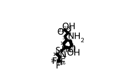 C[C@@](N)(Cc1ccc(O)c(-c2nc(C(F)(F)F)cs2)c1)C(=O)O.Cl